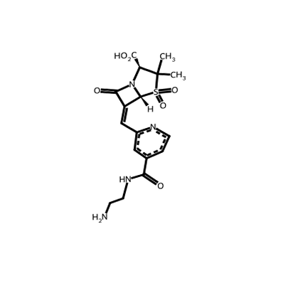 CC1(C)[C@H](C(=O)O)N2C(=O)/C(=C/c3cc(C(=O)NCCN)ccn3)[C@H]2S1(=O)=O